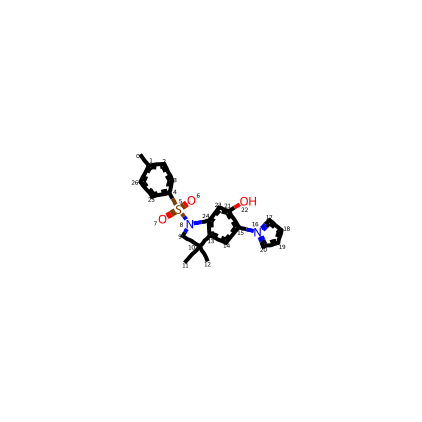 Cc1ccc(S(=O)(=O)N2CC(C)(C)c3cc(-n4cccc4)c(O)cc32)cc1